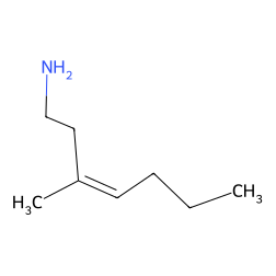 CCC/C=C(/C)CCN